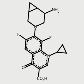 NC1CN(c2c(F)cc3c(=O)c(C(=O)O)cn(C4CC4)c3c2F)CC2CC12